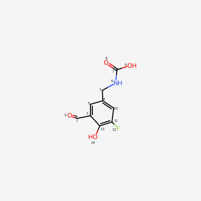 O=Cc1cc(CNC(=O)O)cc(F)c1O